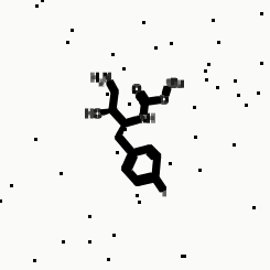 CC(C)(C)OC(=O)N[C@@H](Cc1ccc(I)cc1)[C@@H](O)CN